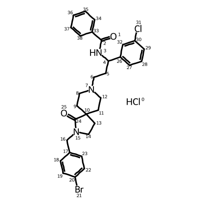 Cl.O=C(NC(CCN1CCC2(CC1)CCN(Cc1ccc(Br)cc1)C2=O)c1cccc(Cl)c1)c1ccccc1